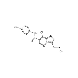 CC(C)c1ccc(NC(=O)c2cnc3c(ncn3CCO)c2Cl)cc1